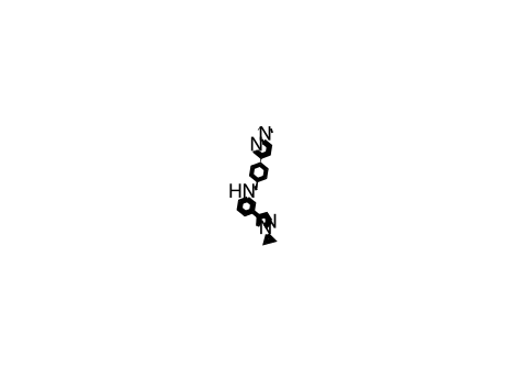 CN(C)c1ccc([C@H]2CC[C@H](CNc3cccc(-c4cnn(C5CC5)c4)c3)CC2)cn1